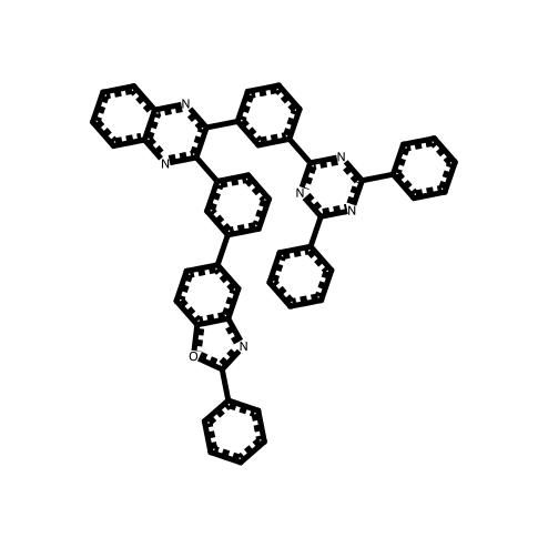 c1ccc(-c2nc(-c3ccccc3)nc(-c3cccc(-c4nc5ccccc5nc4-c4cccc(-c5ccc6oc(-c7ccccc7)nc6c5)c4)c3)n2)cc1